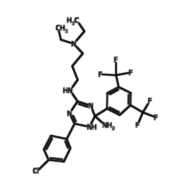 CCN(CC)CCCNC1=NC(N)(c2cc(C(F)(F)F)cc(C(F)(F)F)c2)NC(c2ccc(Cl)cc2)=N1